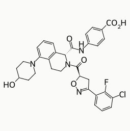 O=C(O)c1ccc(NC(=O)[C@H]2c3cccc(N4CCC(O)CC4)c3CCN2C(=O)[C@H]2CC(c3cccc(Cl)c3F)=NO2)cc1